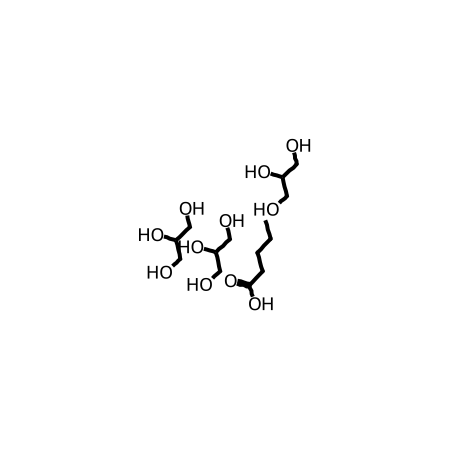 CCCCC(=O)O.OCC(O)CO.OCC(O)CO.OCC(O)CO